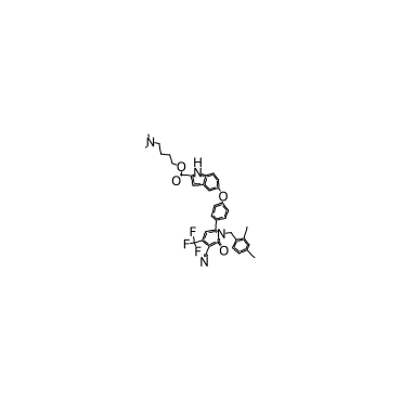 Cc1ccc(Cn2c(-c3ccc(Oc4ccc5[nH]c(C(=O)OCCCCN(C)C)cc5c4)cc3)cc(C(F)(F)F)c(C#N)c2=O)c(C)c1